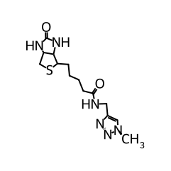 Cn1cc(CNC(=O)CCCCC2SCC3NC(=O)NC32)nn1